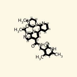 Cc1cc(C)c(CNC(=O)c2cc(-c3cccnc3N3CCN(C)CC3)nc3c2cnn3C(C)C)c(=O)[nH]1